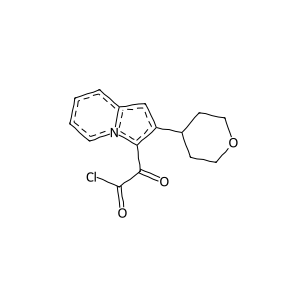 O=C(Cl)C(=O)c1c(C2CCOCC2)cc2ccccn12